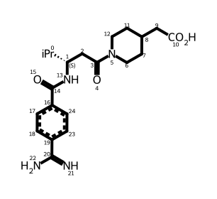 CC(C)[C@H](CC(=O)N1CCC(CC(=O)O)CC1)NC(=O)c1ccc(C(=N)N)cc1